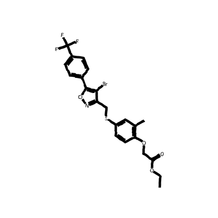 CCOC(=O)COc1ccc(SCc2noc(-c3ccc(C(F)(F)F)cc3)c2Br)cc1C